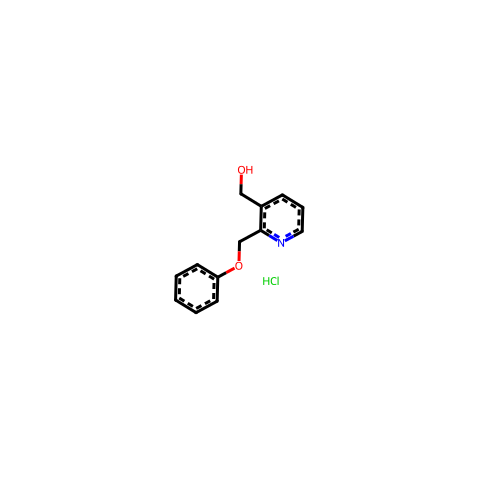 Cl.OCc1cccnc1COc1ccccc1